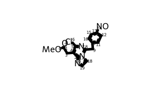 COC(=O)Cc1c(Cl)nc(Cc2ccc(N=O)cc2)n2ccnc12